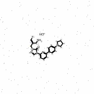 Cl.NC/C(=C\F)Cn1ncn(-c2cccc(-c3ccc(N4CCCC4)cc3)n2)c1=O